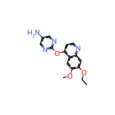 CCOc1cc2nccc(Oc3ncc(N)cn3)c2cc1OC